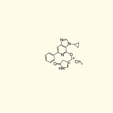 C[C@@H](Oc1nc(-c2ccccc2)cc2ncn(C3CC3)c12)[C@H]1CNC(=O)C1